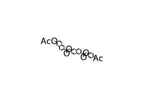 CC(=O)Oc1ccc2cc(C(=O)Oc3ccc4cc(C(=O)Oc5ccc(C(C)=O)cc5)ccc4c3)ccc2c1